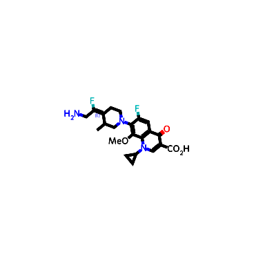 COc1c(N2CC/C(=C(\F)CN)C(C)C2)c(F)cc2c(=O)c(C(=O)O)cn(C3CC3)c12